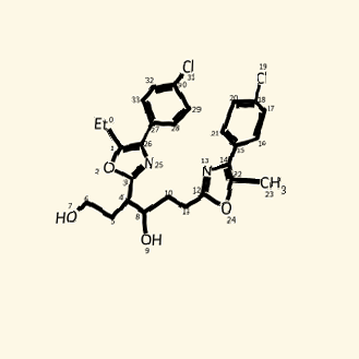 CCc1oc(C(CCO)C(O)CCc2nc(-c3ccc(Cl)cc3)c(C)o2)nc1-c1ccc(Cl)cc1